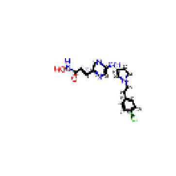 O=C(/C=C/c1cnc(N[C@@H]2CCN(CCc3ccc(Cl)cc3)C2)cn1)NO